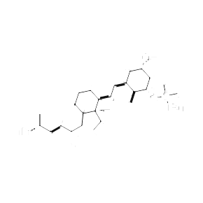 C=C1/C(=C\C=C2/CCC[C@]3(C)[C@@H]([C@H](C)/C=C/[C@H](C)C(C)C)CC[C@@H]23)C[C@@H](O)C[C@@H]1O[Si](C)(C)C(C)(C)C